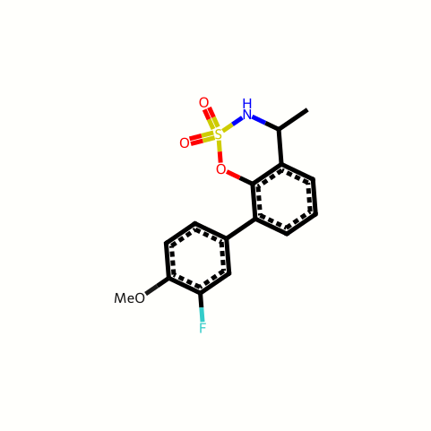 COc1ccc(-c2cccc3c2OS(=O)(=O)NC3C)cc1F